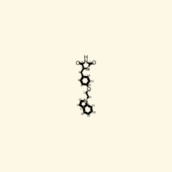 O=C1NC(=O)C(Cc2ccc(OCCn3ccc4ccccc43)cc2)S1